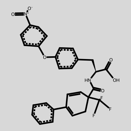 O=C(O)[C@H](Cc1ccc(Oc2ccc([N+](=O)[O-])cc2)cc1)NC(=O)C1(C(F)(F)F)C=CC(c2ccccc2)=CC1